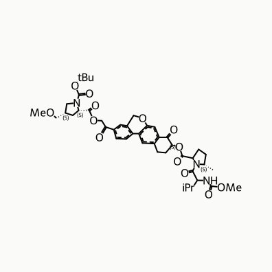 COC[C@H]1C[C@@H](C(=O)OCC(=O)c2ccc3c(c2)COc2cc4c(cc2-3)CC[C@H](OC(=O)C2CC[C@H](C)N2C(=O)C(NC(=O)OC)C(C)C)C4=O)N(C(=O)OC(C)(C)C)C1